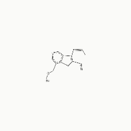 C=CC1=C(/C=C\C)c2cccc(COC(C)CC)c2C1